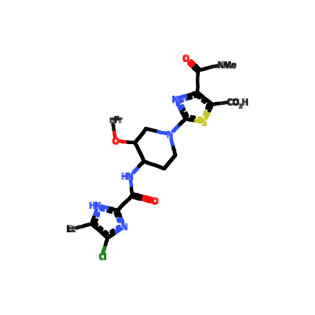 CCCOC1CN(c2nc(C(=O)NC)c(C(=O)O)s2)CCC1NC(=O)c1nc(Cl)c(CC)[nH]1